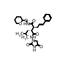 CC(C)C[C@@H](C(=O)NN1CC(=O)NC1=O)[C@H](CC=Cc1ccccc1)C(=O)NOC1CCCCO1